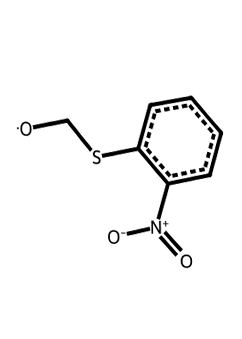 [O]CSc1ccccc1[N+](=O)[O-]